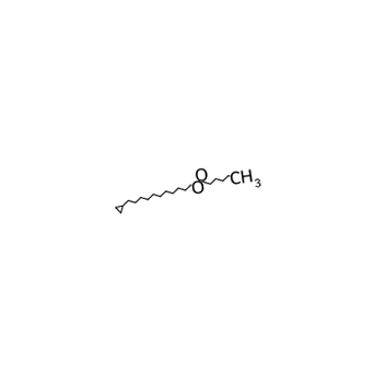 CCCCCC(=O)OCCCCCCCCCCCC1CC1